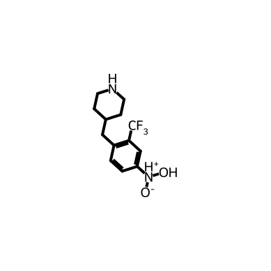 [O-][NH+](O)c1ccc(CC2CCNCC2)c(C(F)(F)F)c1